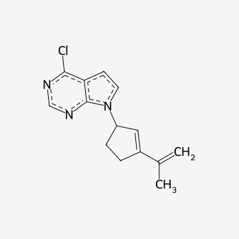 C=C(C)C1=CC(n2ccc3c(Cl)ncnc32)CC1